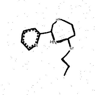 CCC[Se]C1CCNCC(c2ccccn2)N1